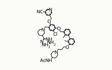 CC(=O)NC1CCN(CCCOc2cccc(-c3cccc(COc4cc(OCc5cncc(C#N)c5)c(CN5CCCC(/C(=N/N)NN)C5)cc4Cl)c3C)c2C)CC1